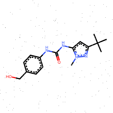 Cn1nc(C(C)(C)C)cc1NC(=O)Nc1ccc(CO)cc1